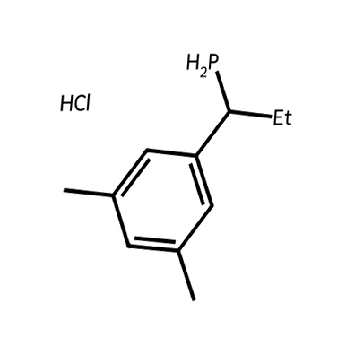 CCC(P)c1cc(C)cc(C)c1.Cl